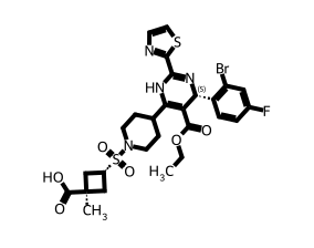 CCOC(=O)C1=C(C2CCN(S(=O)(=O)[C@H]3C[C@](C)(C(=O)O)C3)CC2)NC(c2nccs2)=N[C@@H]1c1ccc(F)cc1Br